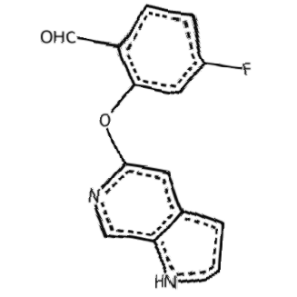 O=Cc1ccc(F)cc1Oc1cc2cc[nH]c2cn1